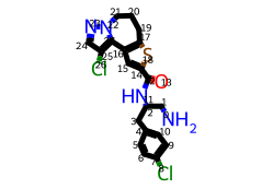 NCC(Cc1ccc(Cl)cc1)NC(=O)c1cc2c(s1)CCCn1ncc(Cl)c1-2